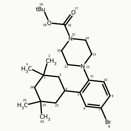 CC1(C)CC(c2cc(Br)ccc2N2CCN(C(=O)OC(C)(C)C)CC2)CC(C)(C)C1